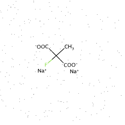 CC(F)(C(=O)[O-])C(=O)[O-].[Na+].[Na+]